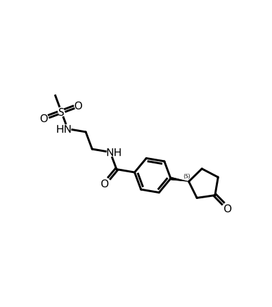 CS(=O)(=O)NCCNC(=O)c1ccc([C@H]2CCC(=O)C2)cc1